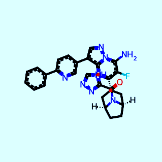 Nc1c(F)c([C@@H]2C[C@H]3CC[C@@H](C2)N3C(=O)c2nnc[nH]2)nc2c(-c3ccc(-c4ccccc4)nc3)cnn12